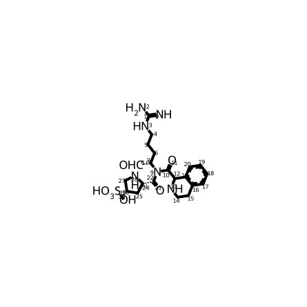 N=C(N)NCCC[C@@H](C=O)N(C(=O)C1NCCc2ccccc21)C(=O)[C@@H]1CCCN1.O=S(=O)(O)O